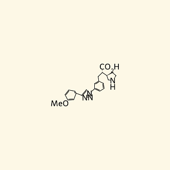 COc1cccc(-c2cn(-c3cccc(C[C@H](C(=O)O)[C@H]4CCNC4)c3)nn2)c1